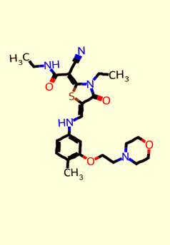 CCNC(=O)C(C#N)=c1sc(=CNc2ccc(C)c(OCCN3CCOCC3)c2)c(=O)n1CC